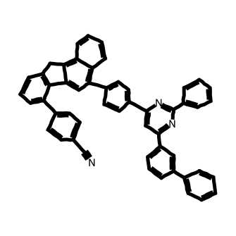 N#Cc1ccc(-c2cccc3c2-c2cc(-c4ccc(-c5cc(-c6cccc(-c7ccccc7)c6)nc(-c6ccccc6)n5)cc4)c4ccccc4c2C3)cc1